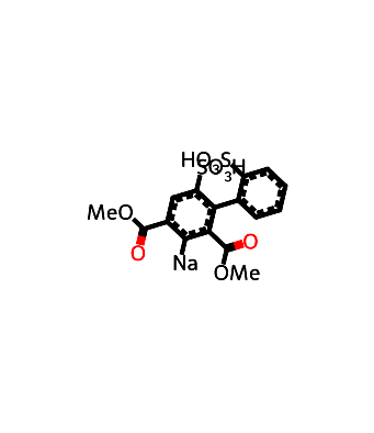 COC(=O)c1cc(S(=O)(=O)O)c(-c2ccccc2S(=O)(=O)O)c(C(=O)OC)[c]1[Na]